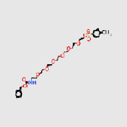 Cc1ccc(S(=O)(=O)OCCOCCOCCOCCOCCOCCOCCNC(=O)OCc2ccccc2)cc1